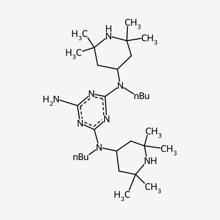 CCCCN(c1nc(N)nc(N(CCCC)C2CC(C)(C)NC(C)(C)C2)n1)C1CC(C)(C)NC(C)(C)C1